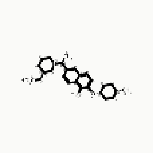 C[C@@H](c1ccc2c(C(F)(F)F)c(O[C@H]3CC[C@@H](C)CC3)ccc2c1)N1CCC[C@H](CC(=O)O)C1